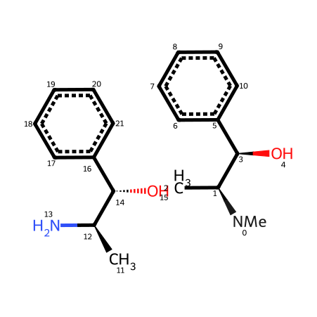 CN[C@@H](C)[C@H](O)c1ccccc1.C[C@@H](N)[C@@H](O)c1ccccc1